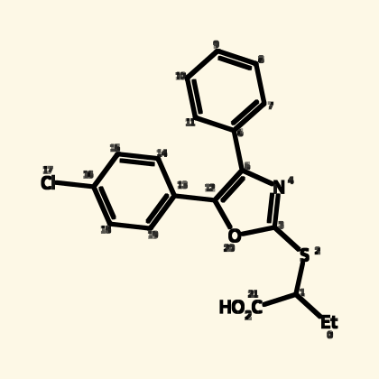 CCC(Sc1nc(-c2ccccc2)c(-c2ccc(Cl)cc2)o1)C(=O)O